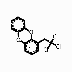 ClC(Cl)(Cl)Cc1cccc2c1Oc1ccccc1O2